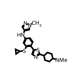 CNC1CCC(c2ncc(-c3ccc(Nc4cnn(C)c4)cc3SC3CC3)s2)CC1